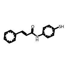 O=C(/C=C/c1ccccc1)Nc1ccc(S)cc1